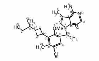 COc1c([C@H](C)n2nc(C)c3c(N)ncnc32)cc(Cl)c(C)c1C1CN([C@H](C)CO)C1